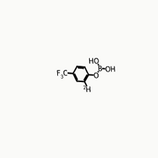 [2H]c1cc(C(F)(F)F)ccc1OB(O)O